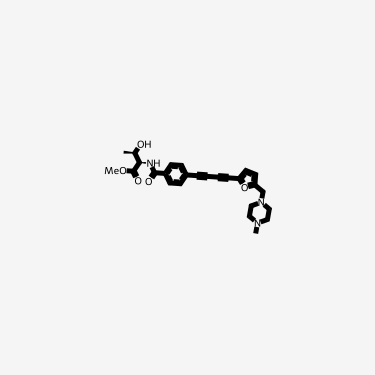 COC(=O)[C@@H](NC(=O)c1ccc(C#CC#Cc2ccc(CN3CCN(C)CC3)o2)cc1)[C@@H](C)O